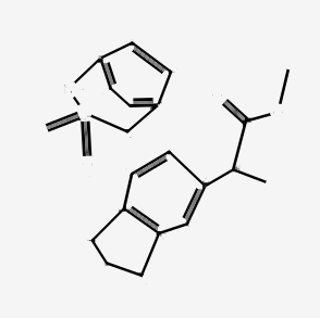 COC(=O)C(C)c1ccc2c(c1)CCC2.O=S1(=O)Cc2ccc(cc2)N1